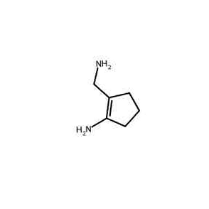 NCC1=C(N)CCC1